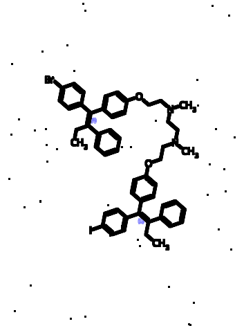 CC/C(=C(\c1ccc(Br)cc1)c1ccc(OCCN(C)CCN(C)CCOc2ccc(/C(=C(/CC)c3ccccc3)c3ccc(I)cc3)cc2)cc1)c1ccccc1